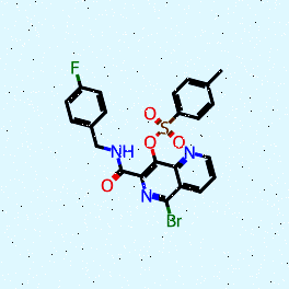 Cc1ccc(S(=O)(=O)Oc2c(C(=O)NCc3ccc(F)cc3)nc(Br)c3cccnc23)cc1